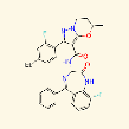 CCc1ccc(-c2nn3c(c2C(=O)N[C@H]2N=C(c4ccccc4)c4cccc(F)c4NC2=O)O[C@H](C)CC3)c(F)c1